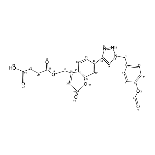 O=COc1ccc(Cn2cc(-c3ccc4c(COC(=O)CCC(=O)O)cc(=O)oc4c3)nn2)cc1